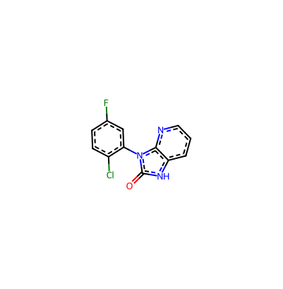 O=c1[nH]c2cccnc2n1-c1cc(F)ccc1Cl